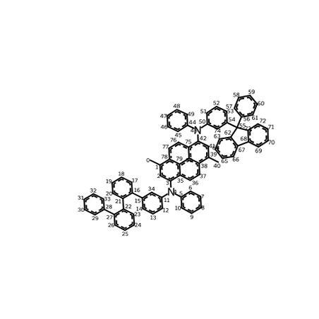 Cc1cc(N(c2ccccc2)c2cccc(-c3ccccc3-c3ccccc3-c3ccccc3)c2)c2ccc3c(C)cc(N(c4ccccc4)c4cccc(C5(c6ccccc6)c6ccccc6-c6ccccc65)c4)c4ccc1c2c34